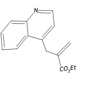 C=C(Cc1ccnc2ccccc12)C(=O)OCC